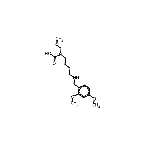 C=CCN(CCCCNCc1ccc(OC)cc1OC)C(=O)O